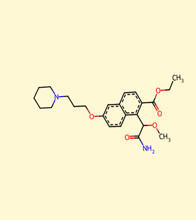 CCOC(=O)c1ccc2cc(OCCCN3CCCCC3)ccc2c1C(OC)C(N)=O